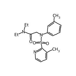 CCN(CC)C(=O)CN(c1cccc(C)c1)S(=O)(=O)c1ncccc1C